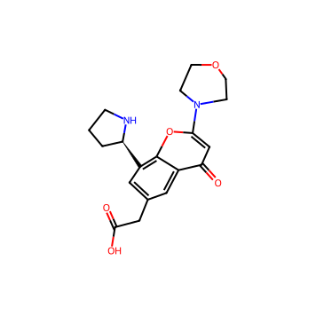 O=C(O)Cc1cc([C@H]2CCCN2)c2oc(N3CCOCC3)cc(=O)c2c1